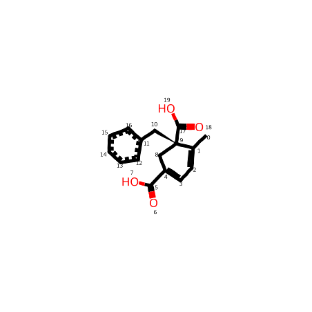 CC1=CC=C(C(=O)O)C[C@]1(Cc1ccccc1)C(=O)O